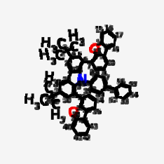 CC(C)(C)c1cc(-c2cccc3c2oc2ccccc23)c2c(c1)c1cc(C(C)(C)C)cc(-c3cccc4c3oc3ccccc34)c1n2-c1ccc(-c2ccccc2)cc1